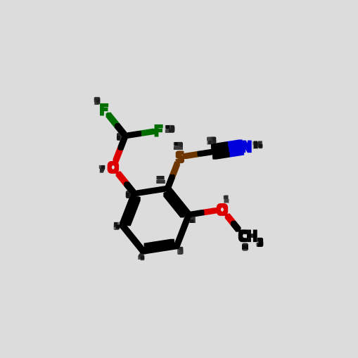 COc1cccc(OC(F)F)c1SC#N